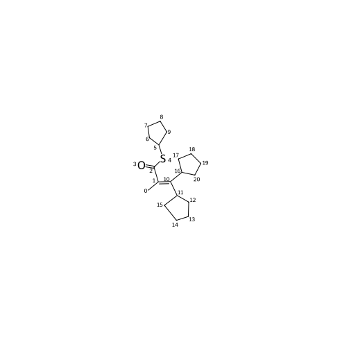 CC(C(=O)SC1CCCC1)=C(C1CCCC1)C1CCCC1